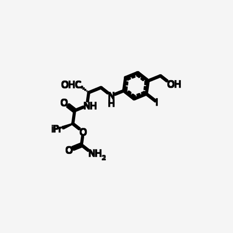 CC(C)[C@H](OC(N)=O)C(=O)N[C@H](C=O)CNc1ccc(CO)c(I)c1